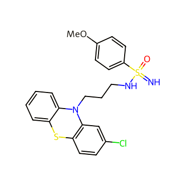 COc1ccc(S(=N)(=O)NCCCN2c3ccccc3Sc3ccc(Cl)cc32)cc1